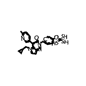 Cc1ccc(-c2c(=O)n(-c3ccc(OC(S)(S)S)cc3)nc3ccn(CC4CC4)c23)cn1